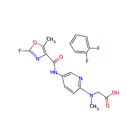 Cc1oc(F)nc1C(=O)Nc1ccc(N(C)CC(=O)O)nc1.Fc1ccccc1F